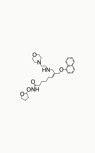 O=C(CCCC/C=C(\CNCCN1CCOCC1)COc1cccc2ccccc12)NOC1CCCO1